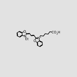 CCN1C(=CC=Cc2oc3ccccc3[n+]2CCCCCC(=O)O)Oc2ccccc21